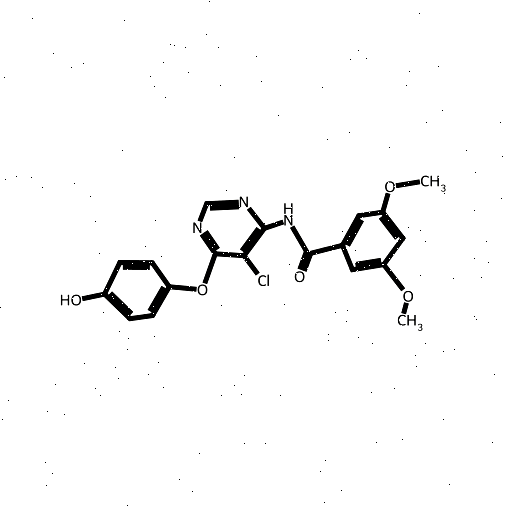 COc1cc(OC)cc(C(=O)Nc2ncnc(Oc3ccc(O)cc3)c2Cl)c1